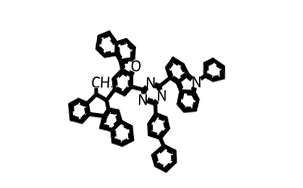 CC1c2ccccc2-c2cc3ccccc3cc2C1c1cc(-c2nc(-c3ccc(-c4ccccc4)cc3)nc(-c3cccc4c3c3ccccc3n4-c3ccccc3)n2)c2oc3ccc4ccccc4c3c2c1